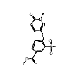 COC(=O)c1ccc(Oc2ccc(=O)n(C)n2)c(S(C)(=O)=O)c1